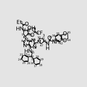 CCC(=O)N[C@H]1C[C@@H](n2cnc3c(NCC(c4ccccc4)c4ccccc4)nc(N4CC[C@@H](NC(=O)Nc5ccc6c(c5)OCCO6)C4)nc32)[C@H](OC(=O)C(F)(F)F)[C@@H]1O